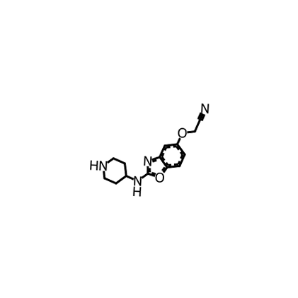 N#CCOc1ccc2oc(NC3CCNCC3)nc2c1